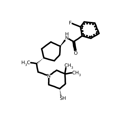 CC(CN1C[C@@H](S)CC(C)(C)C1)[C@H]1CC[C@H](NC(=O)c2ccccc2F)CC1